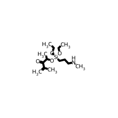 C=C(C)C(=O)C(C)O[Si](CCCNC)(OCC)OCC